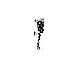 CCCCOCCCCC(O)[C@H]1CC[C@H]2[C@@H]3CC[C@@H]4C[C@](C)(O)CC[C@@H]4[C@H]3CC[C@]12C